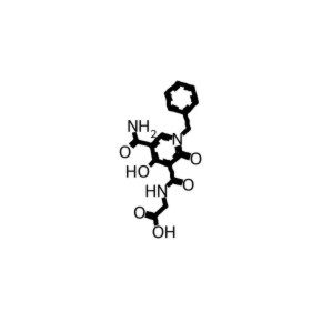 NC(=O)c1cn(Cc2ccccc2)c(=O)c(C(=O)NCC(=O)O)c1O